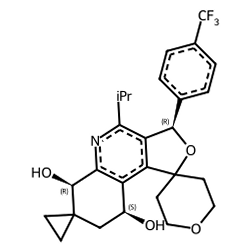 CC(C)c1nc2c(c3c1[C@@H](c1ccc(C(F)(F)F)cc1)OC31CCOCC1)[C@@H](O)CC1(CC1)[C@H]2O